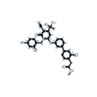 COC(=O)Cc1ccc(-c2cccc(Sc3cc(C(F)(F)F)c(C#N)c(=O)n3Cc3ccc(F)cc3F)c2)cc1Cl